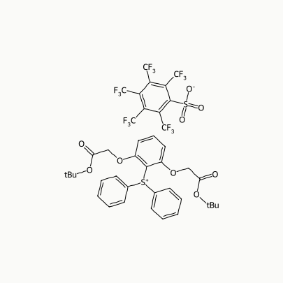 CC(C)(C)OC(=O)COc1cccc(OCC(=O)OC(C)(C)C)c1[S+](c1ccccc1)c1ccccc1.O=S(=O)([O-])c1c(C(F)(F)F)c(C(F)(F)F)c(C(F)(F)F)c(C(F)(F)F)c1C(F)(F)F